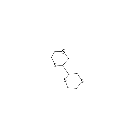 C1CSC(C2CSCCS2)CS1